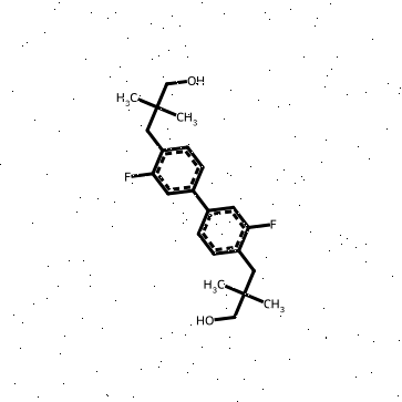 CC(C)(CO)Cc1ccc(-c2ccc(CC(C)(C)CO)c(F)c2)cc1F